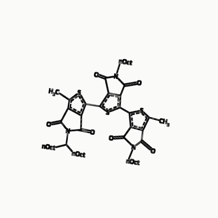 CCCCCCCCC(CCCCCCCC)N1C(=O)c2c(C)sc(-c3sc(-c4sc(C)c5c4C(=O)N(CCCCCCCC)C5=O)c4c3C(=O)N(CCCCCCCC)C4=O)c2C1=O